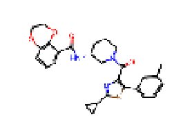 Cc1cccc(-c2sc(C3CC3)nc2C(=O)N2CCC[C@@H](NC(=O)c3cccc4c3OCCO4)C2)c1